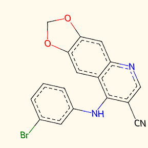 N#Cc1cnc2cc3c(cc2c1Nc1cccc(Br)c1)OCO3